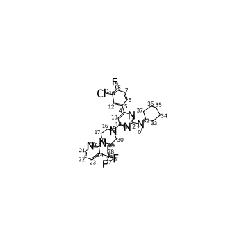 CN(c1nc(-c2ccc(F)c(Cl)c2)cc(N2CCN(c3ncccc3C(F)(F)F)CC2)n1)C1CCCCC1